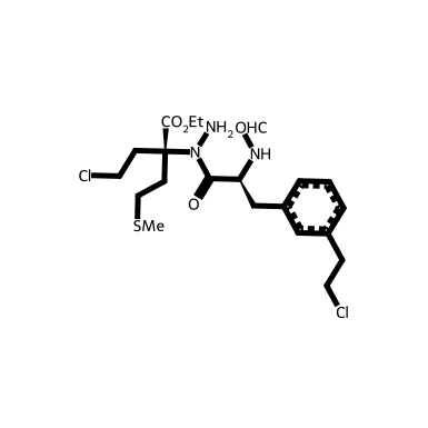 CCOC(=O)[C@](CCCl)(CCSC)N(N)C(=O)[C@H](Cc1cccc(CCCl)c1)NC=O